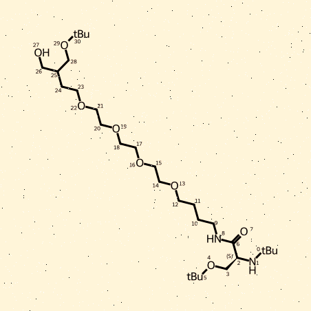 CC(C)(C)N[C@@H](COC(C)(C)C)C(=O)NCCCCOCCOCCOCCOCCC(CO)COC(C)(C)C